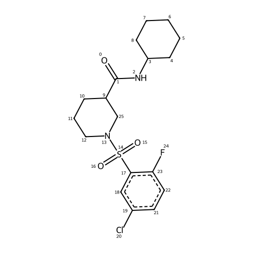 O=C(NC1CCCCC1)C1CCCN(S(=O)(=O)c2cc(Cl)ccc2F)C1